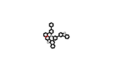 c1ccc(-c2ccc(N(c3cccc(-c4ccc5oc6ccccc6c5c4)c3)c3cccc4oc5c6ccccc6ccc5c34)c(-c3ccccc3)c2)cc1